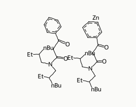 CCCCC(CC)CN(CC(CC)CCCC)C(=O)CC(=O)c1ccccc1.CCCCC(CC)CN(CC(CC)CCCC)C(=O)CC(=O)c1ccccc1.[Zn]